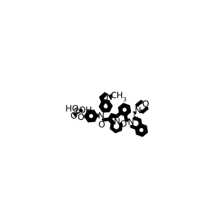 Cn1ccc2cc(N(C(=O)c3cc(-c4ccccc4C(=O)N4Cc5ccccc5C[C@H]4CN4CCOCC4)n4c3CCCC4)c3ccc(OP(=O)(O)O)cc3)ccc21